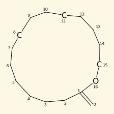 C=C1CCCCCCCCCCCCCCO1